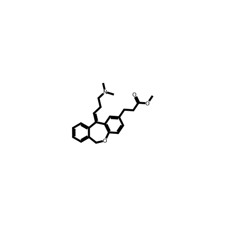 COC(=O)CCc1ccc2c(c1)/C(=C\CCN(C)C)c1ccccc1CO2